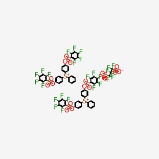 O=S(=O)(Oc1ccc([S+](c2ccccc2)c2ccc(OS(=O)(=O)c3c(F)c(F)c(F)c(F)c3F)cc2)cc1)c1c(F)c(F)c(F)c(F)c1F.O=S(=O)(Oc1ccc([S+](c2ccccc2)c2ccc(OS(=O)(=O)c3c(F)c(F)c(F)c(F)c3F)cc2)cc1)c1c(F)c(F)c(F)c(F)c1F.O=S(=O)([O-])C(F)(F)C(F)(F)C(F)(F)S(=O)(=O)[O-]